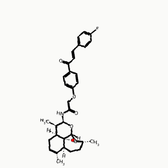 C[C@H]1[C@@H](NC(=O)COc2ccc(C(=O)/C=C/c3ccc(F)cc3)cc2)O[C@@H]2O[C@]3(C)CC[C@H]4[C@H](C)CC[C@@H]1[C@@]24OO3